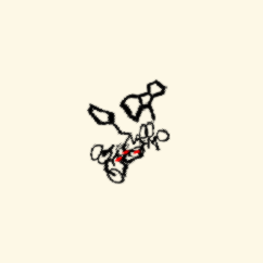 CN(C(=O)OCC1c2ccccc2-c2ccccc21)[C@H](C(=O)N(CCc1ccccc1)[C@@H](CC(=O)O)C(=O)N1CCOCC1)C1CCCC1